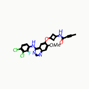 CC#CC(=O)NC1CC(Oc2cc3c(Nc4ccc(Cl)c(Cl)c4F)ncnc3cc2OC)C1